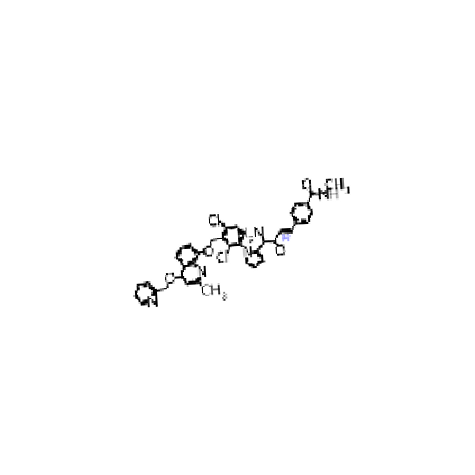 CNC(=O)c1ccc(/C=C/C(=O)C(N)c2cccn2-c2ccc(Cl)c(COc3cccc4c(OCc5ccccn5)cc(C)nc34)c2Cl)cc1